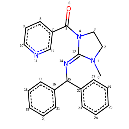 CN1CCN(C(=O)c2cccnc2)C1=NC(c1ccccc1)c1ccccc1